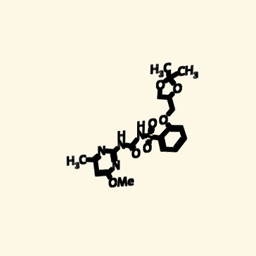 COc1cc(C)nc(NC(=O)NS(=O)(=O)c2ccccc2OCC2COC(C)(C)O2)n1